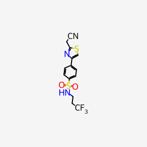 N#CCc1nc(-c2ccc(S(=O)(=O)NCCC(F)(F)F)cc2)cs1